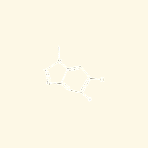 Cn1[c]nc2cc(F)c(Cl)cc21